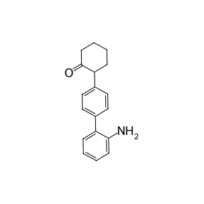 Nc1ccccc1-c1ccc(C2CCCCC2=O)cc1